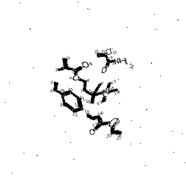 C=C(C)C(=O)OCCC(C)(C)[N+](C)(C)C.C=CC(=O)OCC.C=CC(N)=O.C=Cc1ccccc1.[Cl-]